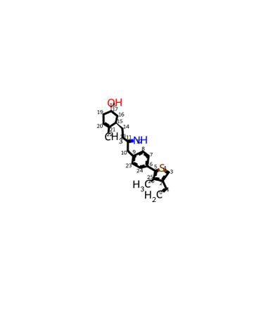 C=Cc1csc(-c2ccc(CC(=N)CC[C@@H]3C[C@@H](O)CC=C3C)cc2)c1C